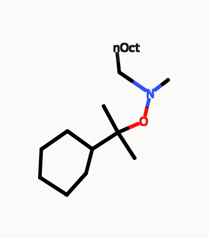 CCCCCCCCCN(C)OC(C)(C)C1CCCCC1